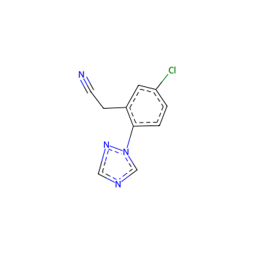 N#CCc1cc(Cl)ccc1-n1cncn1